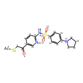 CC(=O)SCC(=O)c1ccc(NS(=O)(=O)c2ccc(N3CCCC3)cc2)nc1